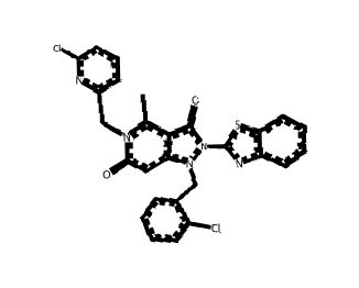 Cc1c2c(=O)n(-c3nc4ccccc4s3)n(Cc3ccccc3Cl)c2cc(=O)n1Cc1cccc(Cl)n1